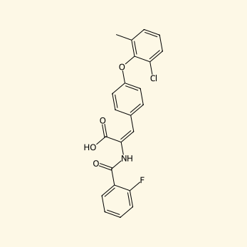 Cc1cccc(Cl)c1Oc1ccc(/C=C(/NC(=O)c2ccccc2F)C(=O)O)cc1